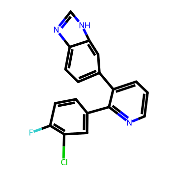 Fc1ccc(-c2ncccc2-c2ccc3nc[nH]c3c2)cc1Cl